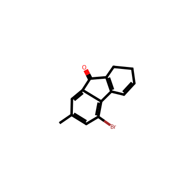 Cc1cc(Br)c2c(c1)C(=O)C1=C2C=CCC1